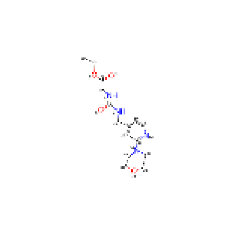 CCOC(=O)CNC(=O)NCc1ccnc(N2CCOCC2)c1